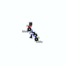 COc1ccc(-c2ccc3cc(-c4nc5cc(C(=O)N6CC7CCC6[C@@H]7C)cc(OC)c5n4C)n(CC4CC4)c3n2)c(F)c1